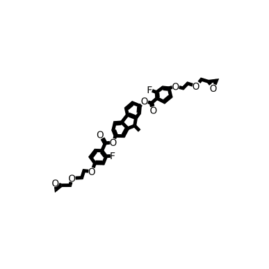 CC1c2cc(OC(=O)c3ccc(OCCOCC4CO4)cc3F)ccc2-c2ccc(OC(=O)c3ccc(OCCOCC4CO4)cc3F)cc21